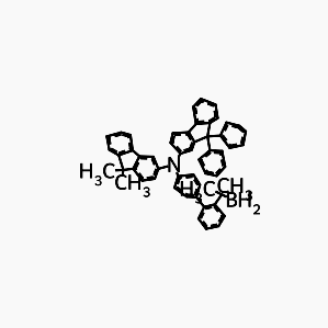 BC(C)(C)c1ccccc1-c1ccc(N(c2ccc3c(c2)-c2ccccc2C3(C)C)c2ccc3c(c2)C(c2ccccc2)(c2ccccc2)c2ccccc2-3)cc1